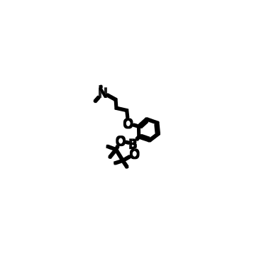 CN(C)CCCOc1ccccc1B1OC(C)(C)C(C)(C)O1